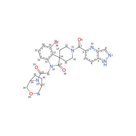 O=C(c1ccc2[nH]ncc2n1)N1CCC2(CC1)C(=O)N(CC(=O)N1C3CCC1COC3)c1cccc(Br)c12